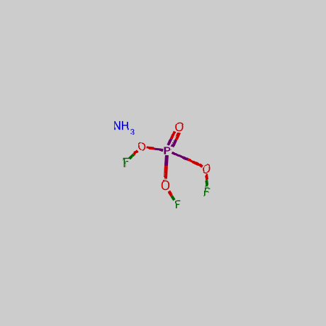 N.O=P(OF)(OF)OF